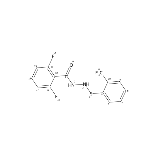 O=C(NNSc1ccccc1C(F)(F)F)c1c(F)cccc1F